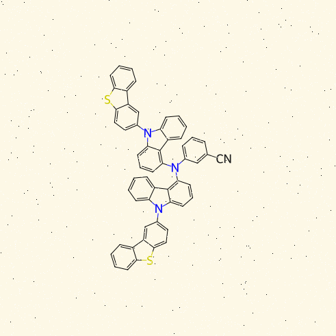 N#Cc1cccc(N(c2cccc3c2c2ccccc2n3-c2ccc3sc4ccccc4c3c2)c2cccc3c2c2ccccc2n3-c2ccc3sc4ccccc4c3c2)c1